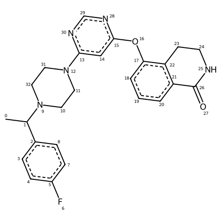 CC(c1ccc(F)cc1)N1CCN(c2cc(Oc3cccc4c3CCNC4=O)ncn2)CC1